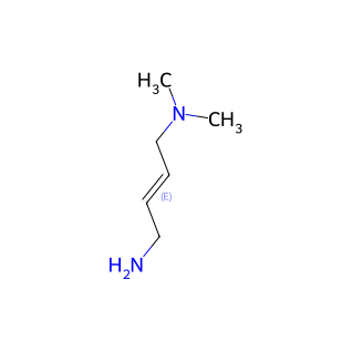 CN(C)C/C=C/CN